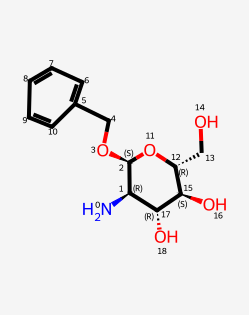 N[C@H]1[C@@H](OCc2ccccc2)O[C@H](CO)[C@@H](O)[C@@H]1O